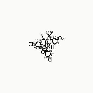 COc1ccc([C@H]2NC(C(=O)O)(c3ccc(Cl)cc3)[C@H](c3ccc(Cl)cc3)N2CC(C)C)c(OC(C)C)c1